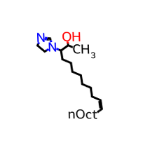 CCCCCCCC/C=C\CCCCCCCC(C(C)O)N1C=NCC1